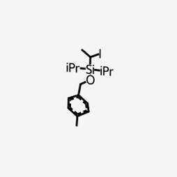 Cc1ccc(CO[Si](C(C)C)(C(C)C)C(C)I)cc1